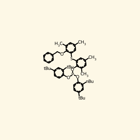 CCCCc1cc(C(C)(C)C)ccc1OP(Oc1ccc(C(C)(C)C)cc1C(C)(C)C)Oc1c(C)cc(C)cc1Sc1cc(C)cc(C)c1OCc1ccccc1